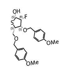 COc1ccc(COC[C@@H]2S[C@H](O)[C@H](F)[C@@H]2OCc2ccc(OC)cc2)cc1